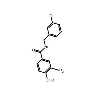 O=Cc1ccc(C(=O)NCc2cccc(Cl)c2)cc1[N+](=O)[O-]